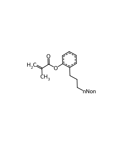 C=C(C)C(=O)Oc1ccccc1CCCCCCCCCCCC